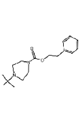 CC(C)(C)N1CCN(C(=O)OCCc2ccccc2)CC1